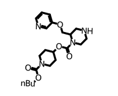 CCCCOC(=O)N1CCC(OC(=O)N2CCNCC2COc2cccnc2)CC1